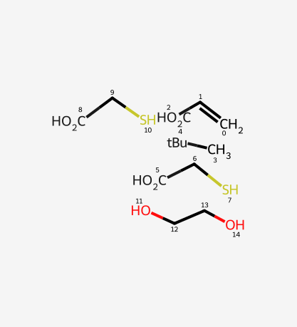 C=CC(=O)O.CC(C)(C)C.O=C(O)CS.O=C(O)CS.OCCO